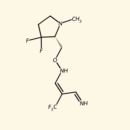 CN1CCC(F)(F)[C@H]1CON/C=C(\C=N)C(F)(F)F